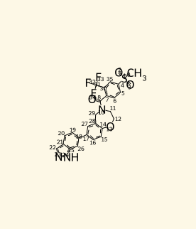 CS(=O)(=O)c1ccc(C(=O)N2CCOc3ccc(-c4ccc5cn[nH]c5c4)cc3C2)c(C(F)(F)F)c1